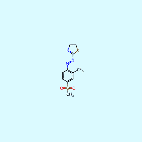 CS(=O)(=O)c1ccc(N=NC2=NCCS2)c(C(F)(F)F)c1